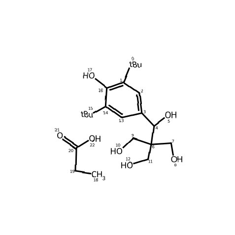 CC(C)(C)c1cc(C(O)C(CO)(CO)CO)cc(C(C)(C)C)c1O.CCC(=O)O